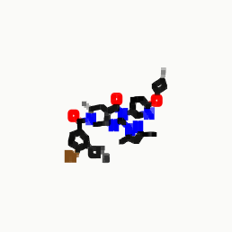 Cc1cc(C)n(-c2nc3c(c(=O)n2-c2ccc(O[C@H]4C[C@H](C)C4)nc2)C[C@@H](C)N(C(=O)c2ccc(Br)c(C(F)(F)F)c2)C3)n1